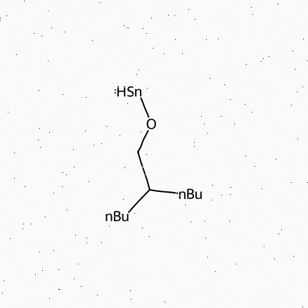 CCCCC(CCCC)C[O][SnH]